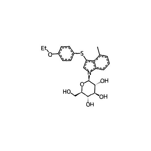 CCOc1ccc(Sc2cn([C@@H]3O[C@H](CO)[C@@H](O)[C@H](O)[C@H]3O)c3cccc(C)c23)cc1